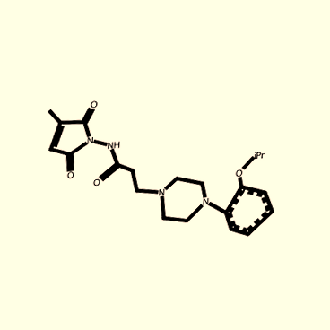 CC1=CC(=O)N(NC(=O)CCN2CCN(c3ccccc3OC(C)C)CC2)C1=O